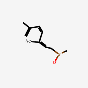 C=C(C)/C=C\C(C#N)=C/C[S+](C)[O-]